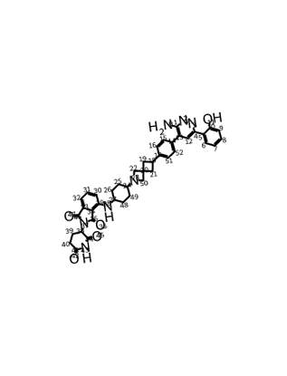 Nc1nnc(-c2ccccc2O)cc1-c1ccc(C2CC3(C2)CN(C2CCC(Nc4cccc5c4C(=O)N(C4CCC(=O)NC4=O)C5=O)CC2)C3)cc1